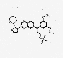 COc1cc(OC)cc(N(CCOS(C)(=O)=O)c2ccc3ncc(-c4ccnn4C4CCCCO4)nc3c2)c1